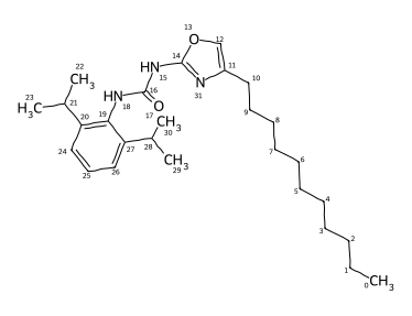 CCCCCCCCCCCc1coc(NC(=O)Nc2c(C(C)C)cccc2C(C)C)n1